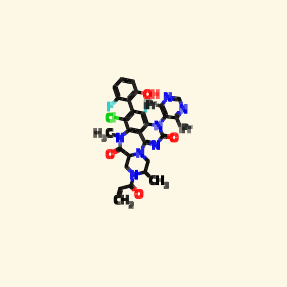 C=CC(=O)N1CC2C(=O)N(C)c3c(Cl)c(-c4c(O)cccc4F)c(F)c4c3c(nc(=O)n4-c3c(C(C)C)ncnc3C(C)C)N2CC1C